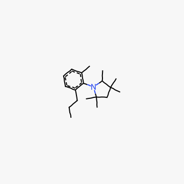 CCCc1cccc(C)c1N1C(C)C(C)(C)CC1(C)C